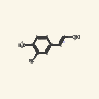 Cc1ccc(/C=C/C=O)cc1C#N